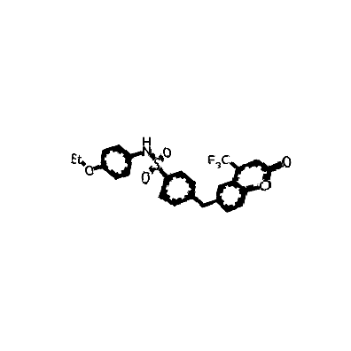 CCOc1ccc(NS(=O)(=O)c2ccc(Cc3ccc4oc(=O)cc(C(F)(F)F)c4c3)cc2)cc1